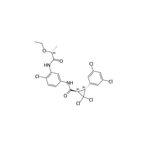 CCO[C@H](C)C(=O)Nc1cc(NC(=O)[C@H]2[C@H](c3cc(Cl)cc(Cl)c3)C2(Cl)Cl)ccc1Cl